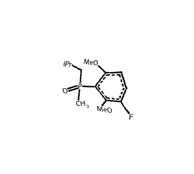 COc1ccc(F)c(OC)c1P(C)(=O)CC(C)C